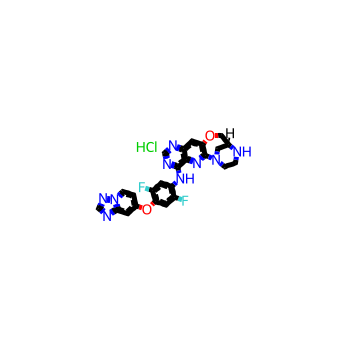 Cl.Fc1cc(Oc2ccn3ncnc3c2)c(F)cc1Nc1ncnc2cc3c(nc12)N1CCN[C@H](CO3)C1